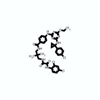 CC(C)(CNC(=O)C(=O)Nc1ccc(Cl)cc1Cl)CNC(=O)c1ccc(Nc2nc(NC3(c4ccc(Cl)cc4)CC3)nc(OCC(F)(F)F)n2)cc1